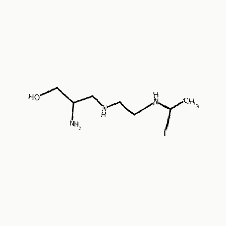 CC(I)NCCNCC(N)CO